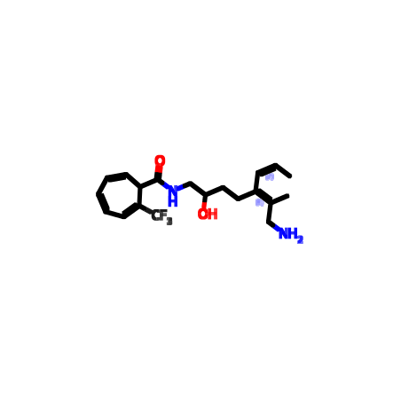 C/C=C\C(CCC(O)CNC(=O)C1C=CC=CC=C1C(F)(F)F)=C(/C)CN